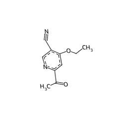 CCOc1cc(C(C)=O)ncc1C#N